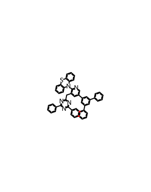 c1ccc(-c2cc(-c3ccccc3)cc(-c3cnc(N4c5ccccc5Sc5ccccc54)c(Cc4nc(-c5ccccc5)nc(-c5ccccc5)n4)c3)c2)cc1